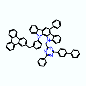 c1ccc(-c2ccc(-c3nc(Cn4c5ccccc5c5c(-c6ccccc6)cc6c7ccccc7n(-c7cccc(Cc8ccc9c%10ccccc%10c%10ccccc%10c9c8)c7)c6c54)nc(-c4ccccc4)n3)cc2)cc1